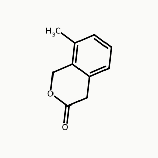 Cc1cccc2c1COC(=O)C2